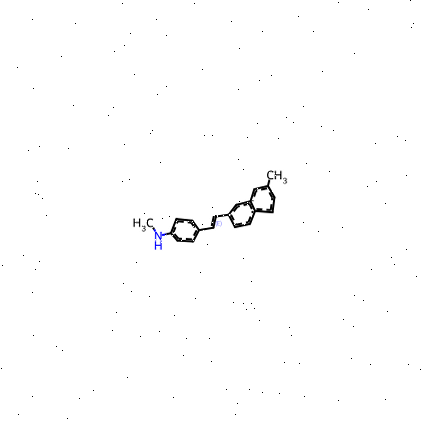 CNc1ccc(/C=C/c2ccc3ccc(C)cc3c2)cc1